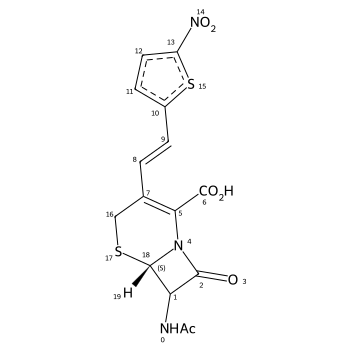 CC(=O)NC1C(=O)N2C(C(=O)O)=C(C=Cc3ccc([N+](=O)[O-])s3)CS[C@@H]12